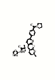 Cc1ccc2c(n1)Oc1nc(-c3ccc(C(=O)N4CCCC4)cc3)ccc1[C@H]2C(C)(C)C(=O)Nc1nncs1